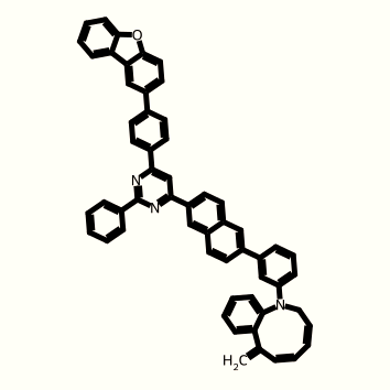 C=C1/C=C\C=C/CN(c2cccc(-c3ccc4cc(-c5cc(-c6ccc(-c7ccc8oc9ccccc9c8c7)cc6)nc(-c6ccccc6)n5)ccc4c3)c2)c2ccccc21